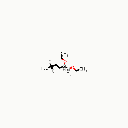 CCO[SiH2][SiH](CCC(C)(C)C)OCC